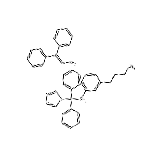 BC=C(c1ccccc1)c1ccccc1.CCCCc1cccc([SiH2]C(c2ccccc2)(c2ccccc2)n2ccnc2)c1